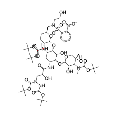 CN(C(=O)OC(C)(C)C)[C@@H]1[C@@H](O)[C@@H](O[C@@H]2[C@@H](O)[C@H](O[C@H]3O[C@H](CN(CCO)S(=O)(=O)c4ccccc4[N+](=O)[O-])CC[C@H]3NC(=O)OC(C)(C)C)[C@@H](NC(=O)OC(C)(C)C)C[C@H]2NC(=O)C(O)CN(NC(=O)OC(C)(C)C)C(=O)OC(C)(C)C)OC[C@]1(C)O